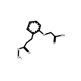 COC(=O)CCc1ccccc1OCC(=O)O